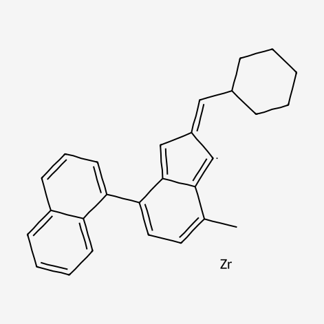 Cc1ccc(-c2cccc3ccccc23)c2c1=[C]C(=CC1CCCCC1)C=2.[Zr]